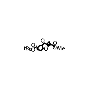 COC(=O)C12CC(C(=O)C3CN(C(=O)OC(C)(C)C)CCC3=O)(C1)C2